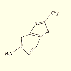 [CH2]c1nc2cc(N)ccc2s1